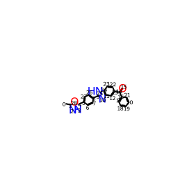 Cc1nnc(-c2ccc(-c3nc4cc(C(=O)c5ccccc5)ccc4[nH]3)cc2)o1